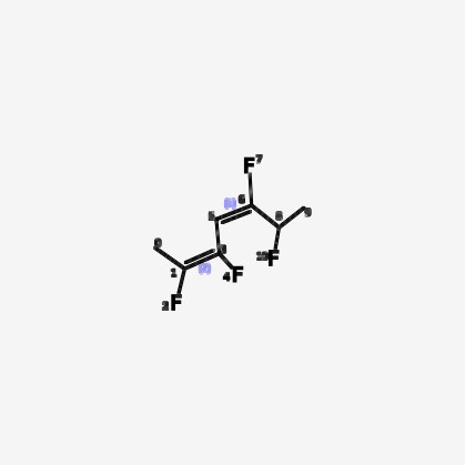 C/C(F)=C(F)\C=C(\F)C(C)F